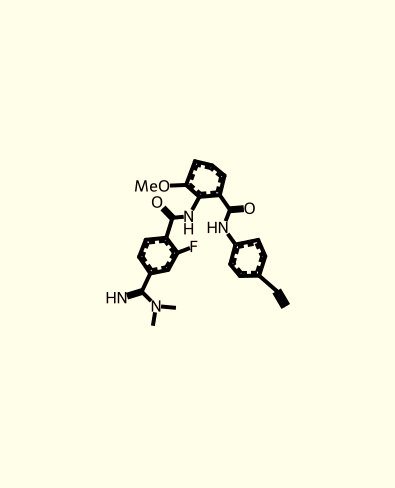 C#Cc1ccc(NC(=O)c2cccc(OC)c2NC(=O)c2ccc(C(=N)N(C)C)cc2F)cc1